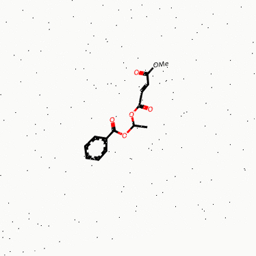 COC(=O)/C=C/C(=O)OC(C)OC(=O)c1ccccc1